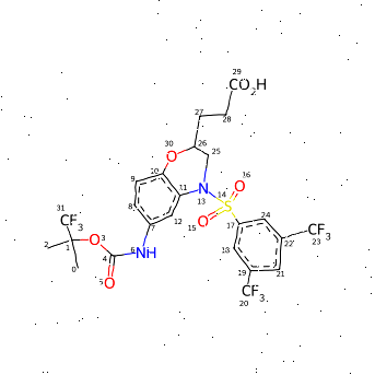 CC(C)(OC(=O)Nc1ccc2c(c1)N(S(=O)(=O)c1cc(C(F)(F)F)cc(C(F)(F)F)c1)CC(CCC(=O)O)O2)C(F)(F)F